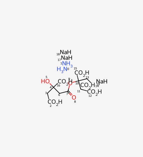 N.N.O=C(O)CC(O)(CC(=O)OC(CC(=O)O)(CC(=O)O)C(=O)O)C(=O)O.[NaH].[NaH].[NaH]